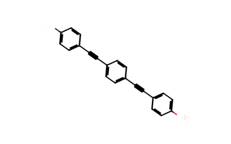 Oc1ccc(C#Cc2ccc(C#Cc3ccc(C(F)(F)F)cc3)cc2)cc1